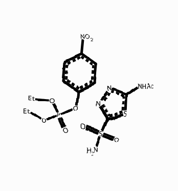 CC(=O)Nc1nnc(S(N)(=O)=O)s1.CCOP(=O)(OCC)Oc1ccc([N+](=O)[O-])cc1